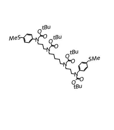 CSc1ccc(N(CCCN(CCCCCN(CCCN(C(=O)OC(C)(C)C)c2ccc(SC)cc2)C(=O)OC(C)(C)C)C(=O)OC(C)(C)C)C(=O)OC(C)(C)C)cc1